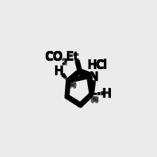 CCOC(=O)C1=N[C@H]2CC[C@@H]1C2.Cl